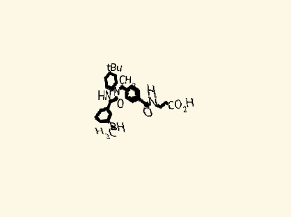 CBC1=CCCC(C2NC3(CCC(C(C)(C)C)CC3)N([C@H](C)c3ccc(C(=O)NCCC(=O)O)cc3)C2=O)C1